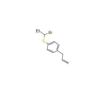 C=CCc1ccc(SC(Br)CC)cc1